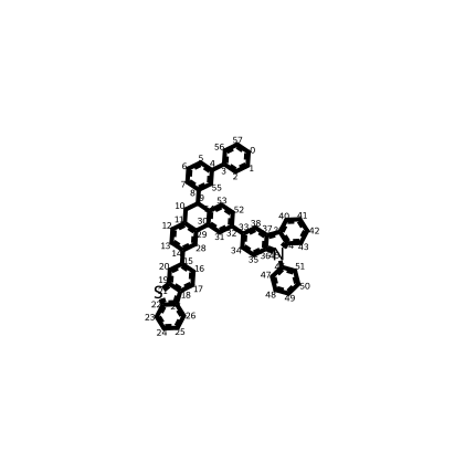 c1ccc(-c2cccc(C3Cc4ccc(-c5ccc6c(c5)sc5ccccc56)cc4-c4cc(-c5ccc6c(c5)c5ccccc5n6-c5ccccc5)ccc43)c2)cc1